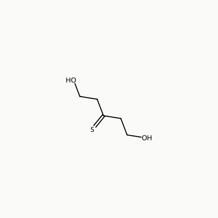 OCCC(=S)CCO